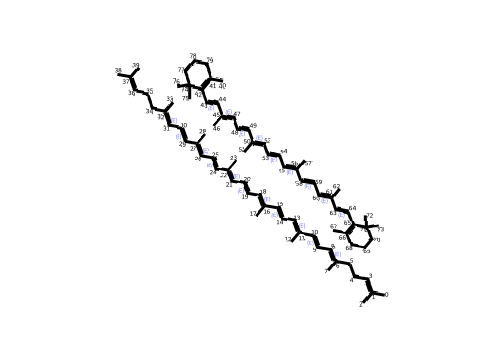 CC(C)=CCC/C(C)=C/C=C/C(C)=C/C=C/C(C)=C/C=C/C=C(C)/C=C/C=C(C)/C=C/C=C(\C)CCC=C(C)C.CC1=C(/C=C/C(C)=C/C=C/C(C)=C/C=C/C=C(C)/C=C/C=C(C)/C=C/C2=C(C)CCCC2(C)C)C(C)(C)CCC1